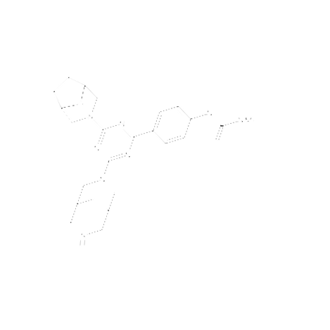 CNC(=O)Nc1ccc(-c2nc(N3CC4CCC(C3)O4)nc(N3CC4CNCC(C3)O4)n2)cc1